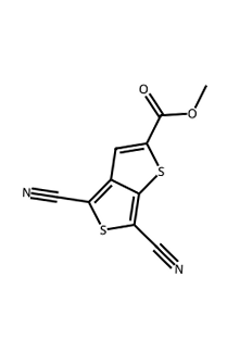 COC(=O)c1cc2c(C#N)sc(C#N)c2s1